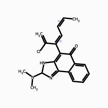 C=C(Cl)/C(=C\C=C/C)C1=C2NC(N(C)C)N=C2c2ccccc2C1=O